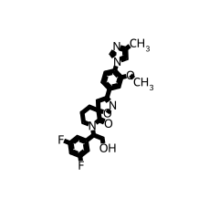 COc1cc(C2=NOC3(CCCN(C(CO)c4cc(F)cc(F)c4)C3=O)C2)ccc1-n1cnc(C)c1